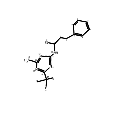 CCC(CCc1ccccc1)Nc1nc(N)nc(C(C)(C)F)n1